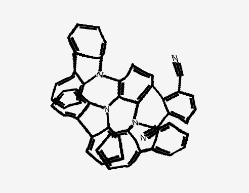 N#Cc1cccc(C#N)c1-c1ccc(-n2c3ccccc3c3ccccc32)c(-n2c3ccccc3c3ccccc32)c1-n1c2ccccc2c2ccccc21